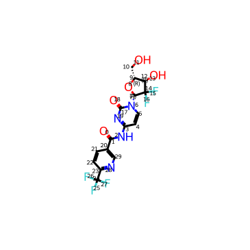 O=C(Nc1ccn([C@@H]2O[C@H](CO)[C@@H](O)C2(F)F)c(=O)n1)c1ccc(C(F)(F)F)nc1